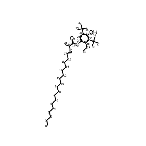 CCCCCCCCCCCCCCCCCCSC(C)C(=O)Oc1cc(C(C)(C)C)c(O)c(C(C)(C)C)c1CC